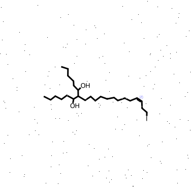 CCCCCC(O)C(CCCCCCCCC/C=C\CCI)C(O)CCCCC